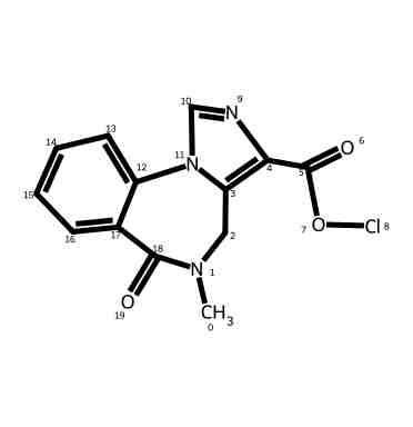 CN1Cc2c(C(=O)OCl)ncn2-c2ccccc2C1=O